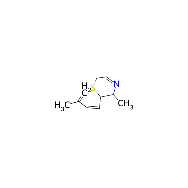 C=C(C)/C=C\C1SCC=NC1C